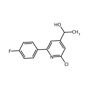 CC(O)c1cc(Cl)nc(-c2ccc(F)cc2)c1